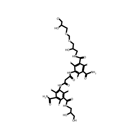 NC(=O)c1c(I)c(NC(=O)CC(=O)Nc2c(I)c(C(N)=O)c(I)c(C(=O)NCC(O)COCOCC(O)CCl)c2I)c(I)c(C(=O)NCC(O)CO)c1I